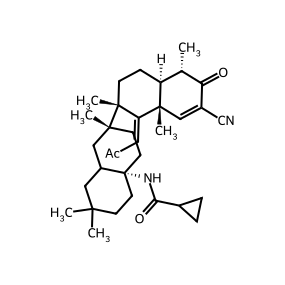 CC(=O)/C=C1/[C@@]2(C)C=C(C#N)C(=O)[C@@H](C)[C@@H]2CC[C@@]1(C)[C@]1(C)CC[C@@]2(NC(=O)C3CC3)CCC(C)(C)CC2C1